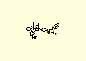 CN(CCN1CCOCC1)c1ccc(NC=C2C(=O)NC(=O)c3ccc(Br)cc32)cc1